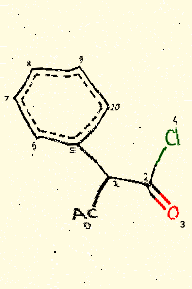 CC(=O)C(C(=O)Cl)c1ccccc1